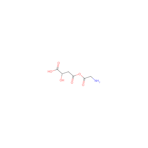 NCC(=O)OC(=O)CC(O)C(=O)O